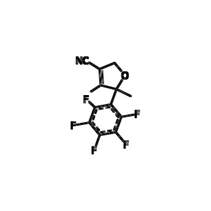 CC1=C(C#N)COC1(C)c1c(F)c(F)c(F)c(F)c1F